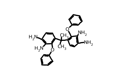 CC(C)(c1ccc(N)c(N)c1Oc1ccccc1)c1ccc(N)c(N)c1Oc1ccccc1